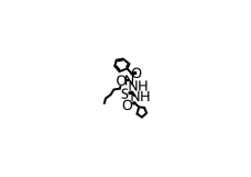 CCCCCON(NC(=S)NC(=O)C1CCCC1)C(=O)c1ccccc1